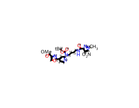 COC(=O)c1coc(-c2ccnc(N(CCCCNC(=O)c3nn(C)cc3[N+](=O)[O-])C(=O)OC(C)(C)C)c2)n1